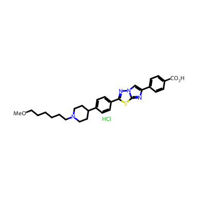 COCCCCCCN1CCC(c2ccc(-c3nn4cc(-c5ccc(C(=O)O)cc5)nc4s3)cc2)CC1.Cl